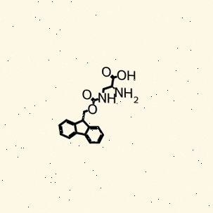 N[C@@H](CNC(=O)OCC1c2ccccc2-c2ccccc21)C(=O)O